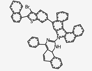 Brc1c(-c2cccc3ccccc23)sc2cc(-c3cc4c(c5ccccc35)c3c5ccccc5ccc3n4C3=NC(c4ccccc4)=C4C=Cc5ccccc5C4N3)ccc12